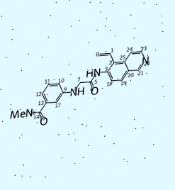 C=Cc1c(NC(=O)CNc2cccc(C(=O)NC)c2)ccc2cnccc12